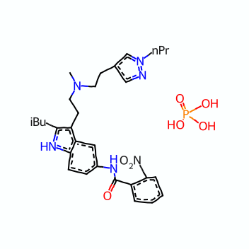 CCCn1cc(CCN(C)CCc2c(C(C)CC)[nH]c3ccc(NC(=O)c4ccccc4[N+](=O)[O-])cc23)cn1.O=P(O)(O)O